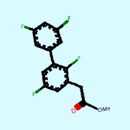 COC(=O)Cc1cc(F)cc(-c2cc(F)cc(F)c2)c1F